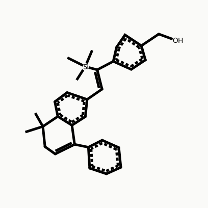 CC1(C)CC=C(c2ccccc2)c2cc(/C=C(/c3ccc(CO)cc3)[Si](C)(C)C)ccc21